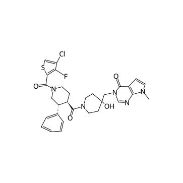 Cn1ccc2c(=O)n(CC3(O)CCN(C(=O)[C@@H]4CCN(C(=O)c5scc(Cl)c5F)C[C@H]4c4ccccc4)CC3)cnc21